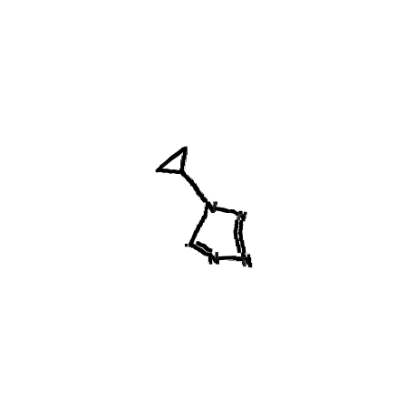 [c]1nnnn1C1CC1